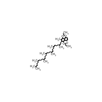 CCC(=O)Oc1c(C)c(CC=C(C)CCC=C(C)CCC=C(C)CCC=C(C)CCC=C(C)CCC=C(C)CCC=C(C)C)c(OC(=O)CC)c2ccccc12